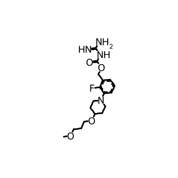 COCCCOC1CCN(c2cccc(COC(=O)NC(=N)N)c2F)CC1